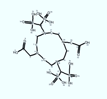 O=C(O)CN1CCN(C(P(=O)(O)O)P(=O)(O)O)CCN(CC(=O)O)CCN(C(P(=O)(O)O)P(=O)(O)O)CC1